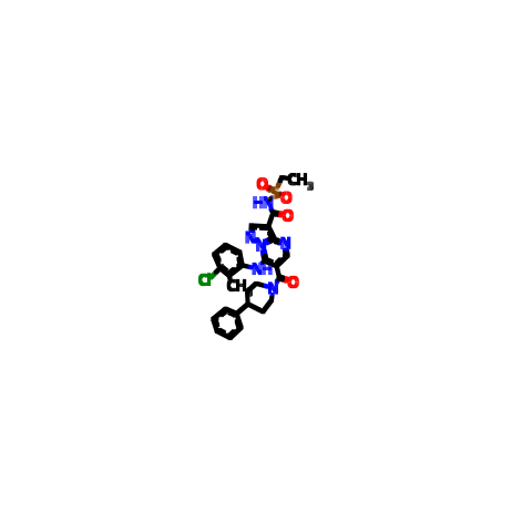 CCS(=O)(=O)NC(=O)c1cnn2c(Nc3cccc(Cl)c3C)c(C(=O)N3CCC(c4ccccc4)CC3)cnc12